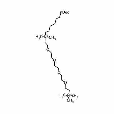 CCCCCCCCCCCCCCCC[N+](C)(C)CCOCCOCCOCCOCC[N+](C)(C)C